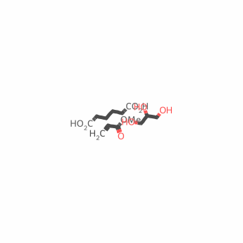 C=CC(=O)OC.O=C(O)CCCCC(=O)O.OCC(O)CO